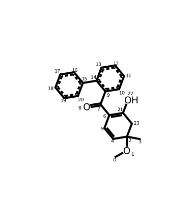 COC1(C)C=CC(C(=O)c2ccccc2-c2ccccc2)=C(O)C1